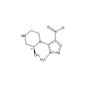 C[C@H]1CNCCN1c1c([N+](=O)[O-])cnn1C